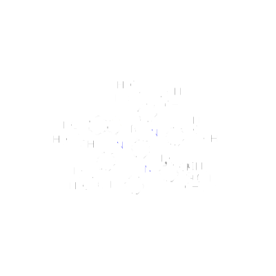 CC(C)(C)c1ccc(N2c3cc(N(c4ccccc4)c4ccc([Si](C)(C)C)cc4)cc4c3B(c3cc5c(cc3N4c3ccc4c(c3)C(C)(C)CCC4(C)C)C(C)(C)CCC5(C)C)c3sc4ccc(C(C)(C)C)cc4c32)cc1